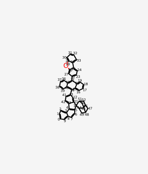 c1ccc2c3c(ccc2c1)C1(c2cc(-c4c5ccccc5c(-c5ccc6c(c5)oc5ccccc56)c5ccccc45)ccc2-3)C2CC3CC(C2)CC1C3